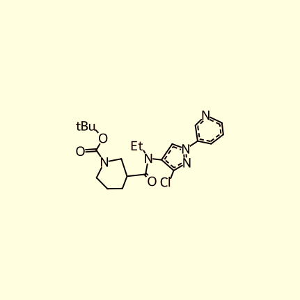 CCN(C(=O)C1CCCN(C(=O)OC(C)(C)C)C1)c1cn(-c2cccnc2)nc1Cl